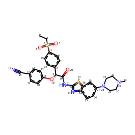 CCS(=O)(=O)c1ccc(C(Oc2ccc(C#N)cc2)C(=O)Nc2nc3ccc(N4CCN(C)CC4)cc3s2)cc1